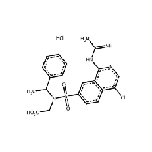 C[C@@H](c1ccccc1)N(CC(=O)O)S(=O)(=O)c1ccc2c(Cl)cnc(NC(=N)N)c2c1.Cl